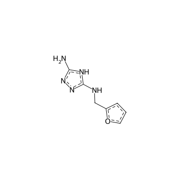 Nc1nnc(NCc2ccco2)[nH]1